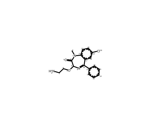 CN1C(=O)C(OCCN)N=C(c2ccccc2)c2cc(Cl)ccc21